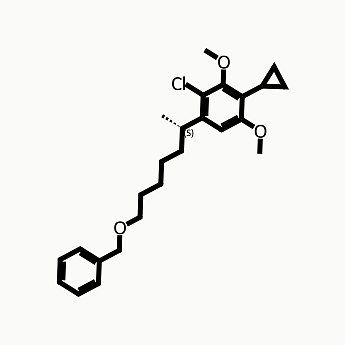 COc1cc([C@@H](C)CCCCCOCc2ccccc2)c(Cl)c(OC)c1C1CC1